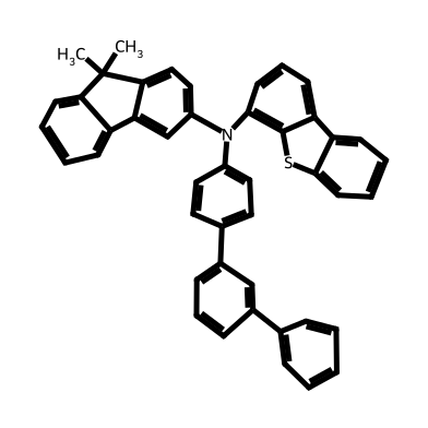 CC1(C)c2ccccc2-c2cc(N(c3ccc(-c4cccc(-c5ccccc5)c4)cc3)c3cccc4c3sc3ccccc34)ccc21